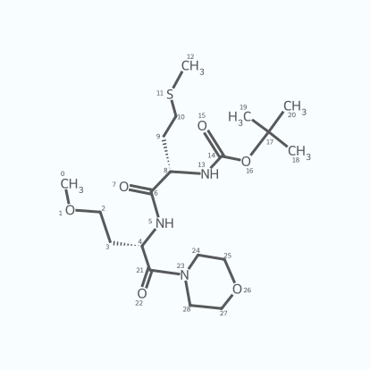 COCC[C@H](NC(=O)[C@H](CCSC)NC(=O)OC(C)(C)C)C(=O)N1CCOCC1